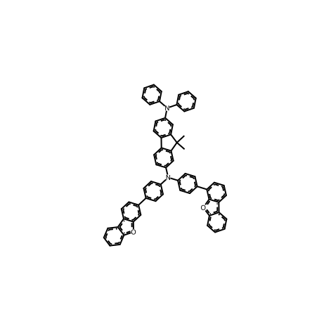 CC1(C)c2cc(N(c3ccccc3)c3ccccc3)ccc2-c2ccc(N(c3ccc(-c4ccc5c(c4)oc4ccccc45)cc3)c3ccc(-c4cccc5c4oc4ccccc45)cc3)cc21